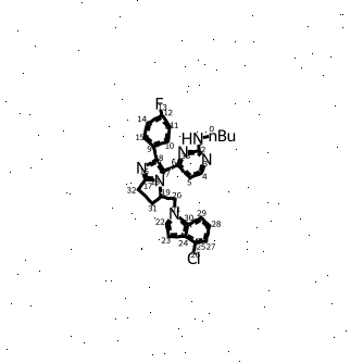 CCCCNc1nccc(-c2c(-c3ccc(F)cc3)nc3n2C(Cn2ccc4c(Cl)cccc42)CC3)n1